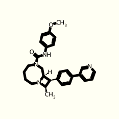 COc1ccc(NC(=O)N2CCCCN3[C@H](C)[C@H](c4ccc(-c5cccnc5)cc4)[C@@H]3C2)cc1